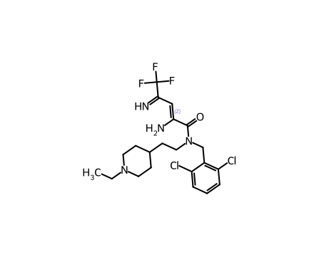 CCN1CCC(CCN(Cc2c(Cl)cccc2Cl)C(=O)/C(N)=C/C(=N)C(F)(F)F)CC1